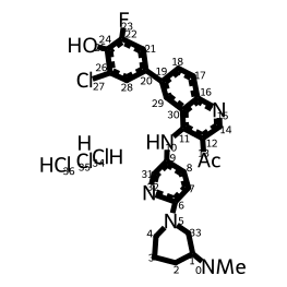 CNC1CCCN(c2ccc(Nc3c(C(C)=O)cnc4ccc(-c5cc(F)c(O)c(Cl)c5)cc34)cn2)C1.Cl.Cl.Cl